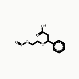 O=POCCOC(CC(=O)O)c1ccccc1